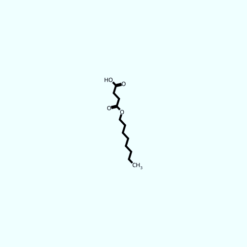 CCCCCCCCOC(=O)CCC(=O)O